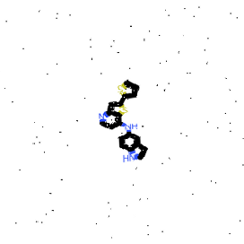 c1csc(-c2cc3nccc(Nc4ccc5[nH]ccc5c4)c3s2)c1